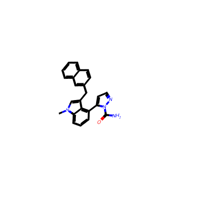 Cn1cc(Cc2ccc3ccccc3c2)c2c(-c3c[c]nn3C(N)=O)cccc21